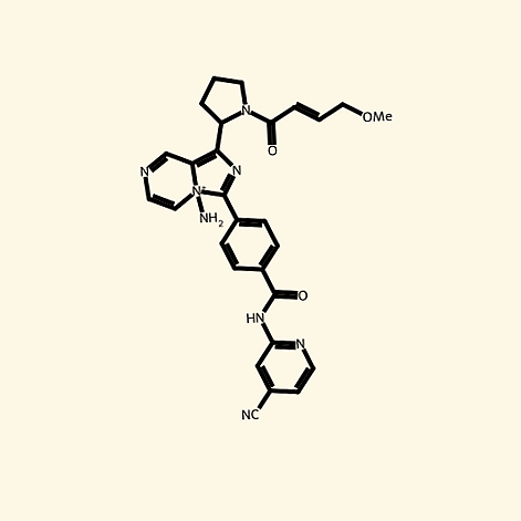 COC/C=C/C(=O)N1CCCC1C1=C2C=NC=C[N+]2(N)C(c2ccc(C(=O)Nc3cc(C#N)ccn3)cc2)=N1